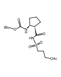 CC(=O)OCCCS(=O)(=O)NC(=O)[C@@H]1CCC[C@@H]1NC(=O)OC(C)(C)C